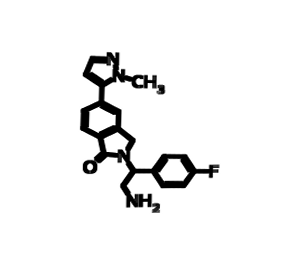 Cn1nccc1-c1ccc2c(c1)CN(C(CN)c1ccc(F)cc1)C2=O